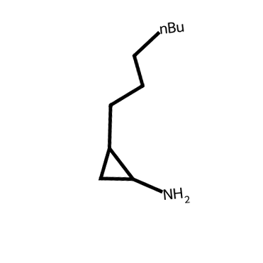 CCCCCCCC1CC1N